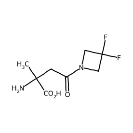 CC(N)(CC(=O)N1CC(F)(F)C1)C(=O)O